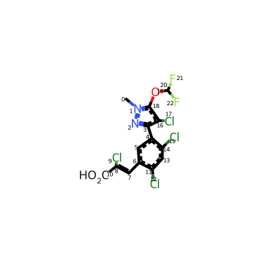 Cn1nc(-c2cc(C=C(Cl)C(=O)O)c(Cl)cc2Cl)c(Cl)c1OC(F)F